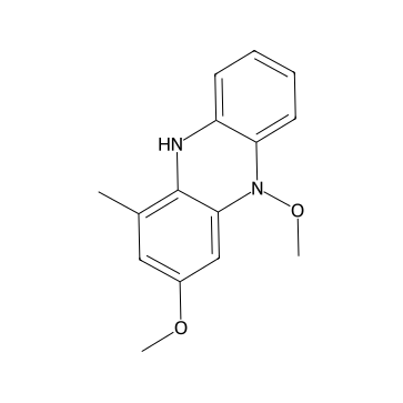 COc1cc(C)c2c(c1)N(OC)c1ccccc1N2